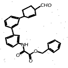 O=CC1C=CC(c2cccc(-c3cccc(NC(=O)C(=O)OCc4ccccc4)c3)c2)CC1